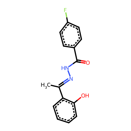 C/C(=N\NC(=O)c1ccc(F)cc1)c1ccccc1O